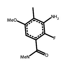 CNC(=O)c1cc(OC)c(C)c(N)c1F